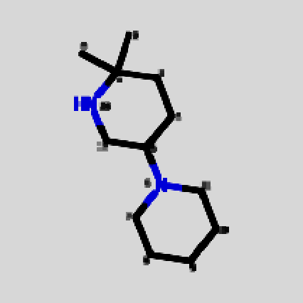 CC1(C)CCC(N2CCCCC2)CN1